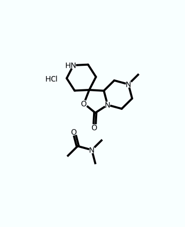 CC(=O)N(C)C.CN1CCN2C(=O)OC3(CCNCC3)C2C1.Cl